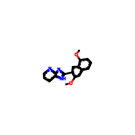 COc1cc2cccc(OC)c2cc1-c1nc2ncccc2[nH]1